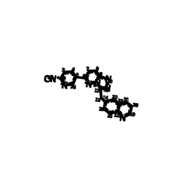 [C-]#[N+]c1ccc(-c2ccc3nnc(Cc4ccc5ncccc5c4)n3n2)cn1